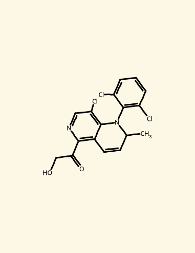 CC1C=Cc2c(C(=O)CO)ncc(Cl)c2N1c1c(Cl)cccc1Cl